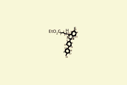 CCOC(=O)CCCNc1nc(-c2ccc(-c3ccc(C)cc3)cc2)nc2ccc(F)cc12